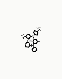 Cc1cc(N(c2ccccc2)c2ccccc2)c(Cl)c(N(c2ccc(S(C)(C)C)cc2)c2ccc(S(C)(C)C)cc2)c1